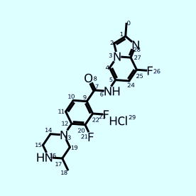 Cc1cn2cc(NC(=O)c3ccc(N4CCNC(C)C4)c(F)c3F)cc(F)c2n1.Cl